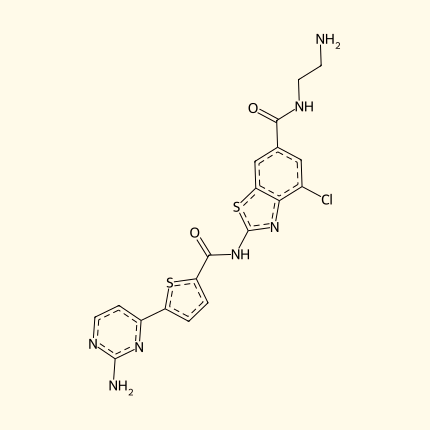 NCCNC(=O)c1cc(Cl)c2nc(NC(=O)c3ccc(-c4ccnc(N)n4)s3)sc2c1